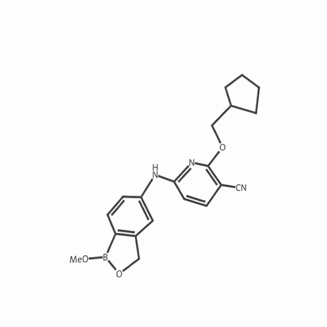 COB1OCc2cc(Nc3ccc(C#N)c(OCC4CCCC4)n3)ccc21